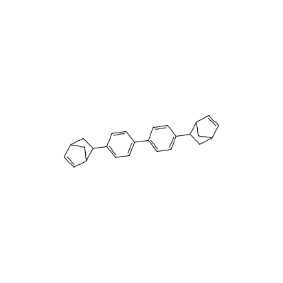 C1=CC2CC1CC2c1ccc(-c2ccc(C3CC4C=CC3C4)cc2)cc1